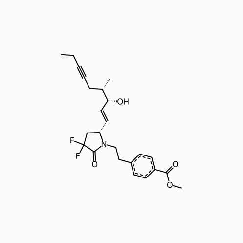 CCC#CC[C@H](C)[C@H](O)C=C[C@H]1CC(F)(F)C(=O)N1CCc1ccc(C(=O)OC)cc1